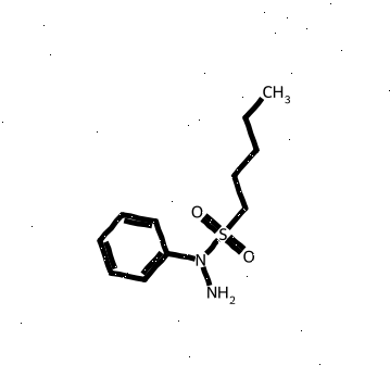 CCCCCS(=O)(=O)N(N)c1ccccc1